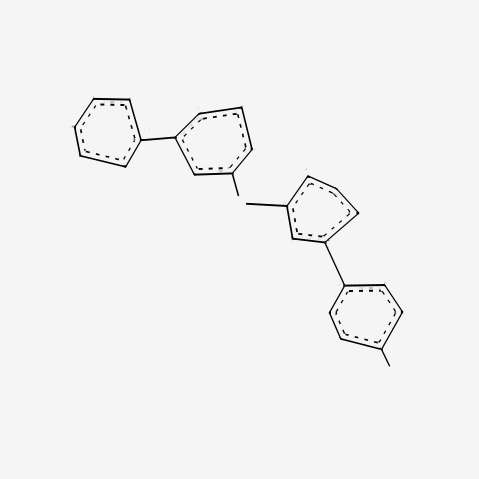 Cc1ccc(-c2cccc(Sc3cccc(-c4ccccc4)c3)c2)cc1